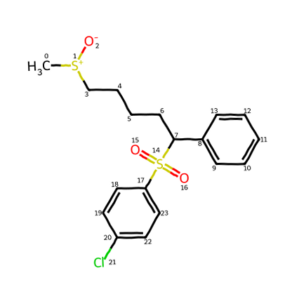 C[S+]([O-])CCCCC(c1ccccc1)S(=O)(=O)c1ccc(Cl)cc1